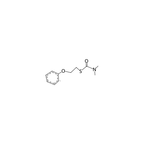 CN(C)C(=O)SCCOc1[c]cccc1